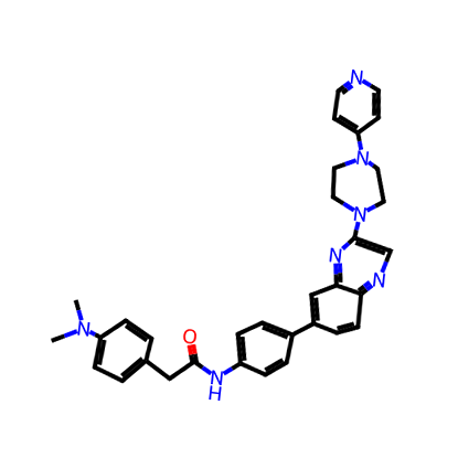 CN(C)c1ccc(CC(=O)Nc2ccc(-c3ccc4ncc(N5CCN(c6ccncc6)CC5)nc4c3)cc2)cc1